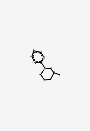 CC1CCCN(c2ncccn2)C1